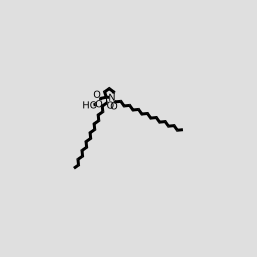 CCCCCCCCCCCCCCCC(=O)N1CCC[C@@]1(C(=O)CCCCCCCCCCCCCCC)C(=O)OO